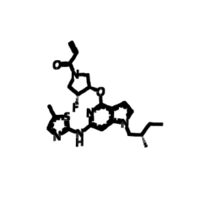 C=CC(=O)N1C[C@@H](F)[C@H](Oc2nc(Nc3ncc(C)s3)cc3c2ccn3C[C@@H](C)CC)C1